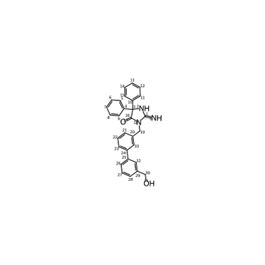 N=C1NC(c2ccccc2)(c2ccccc2)C(=O)N1Cc1cccc(-c2cccc(CO)c2)c1